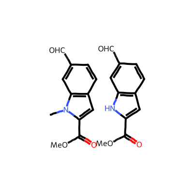 COC(=O)c1cc2ccc(C=O)cc2[nH]1.COC(=O)c1cc2ccc(C=O)cc2n1C